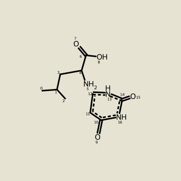 CC(C)CC(N)C(=O)O.O=c1cc[nH]c(=O)[nH]1